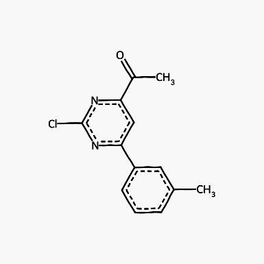 CC(=O)c1cc(-c2cccc(C)c2)nc(Cl)n1